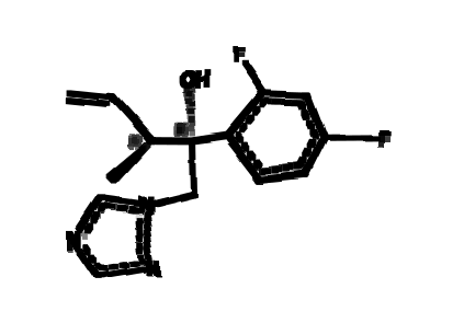 C=C[C@H](C)[C@](O)(Cn1cncn1)c1ccc(F)cc1F